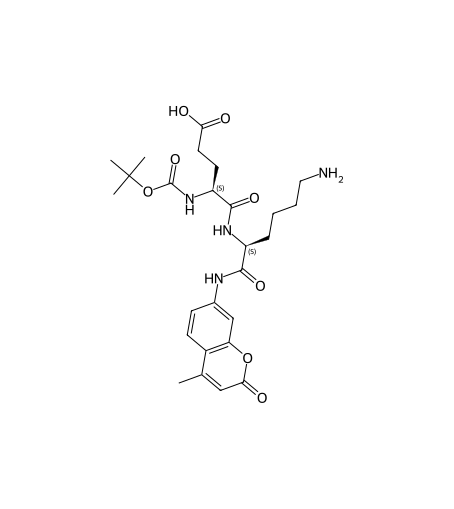 Cc1cc(=O)oc2cc(NC(=O)[C@H](CCCCN)NC(=O)[C@H](CCC(=O)O)NC(=O)OC(C)(C)C)ccc12